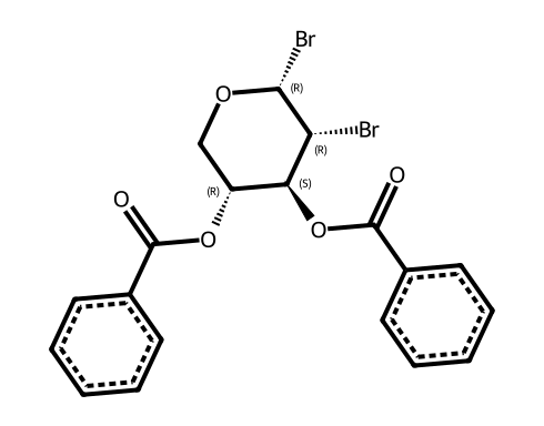 O=C(O[C@@H]1[C@@H](Br)[C@@H](Br)OC[C@H]1OC(=O)c1ccccc1)c1ccccc1